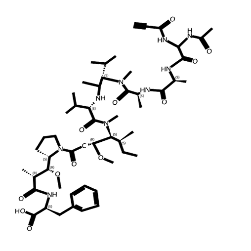 C#CC(=O)NC(NC(C)=O)C(=O)N[C@@H](C)C(=O)N[C@@H](C)C(=O)N(C)[C@@H](C(C)C)C(C)N[C@H](C(=O)N(C)[C@@H]([C@@H](C)CC)[C@@H](CC(=O)N1CCC[C@H]1[C@H](OC)[C@@H](C)C(=O)N[C@@H](Cc1ccccc1)C(=O)O)OC)C(C)C